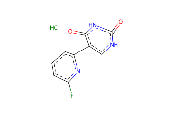 Cl.O=c1[nH]cc(-c2cccc(F)n2)c(=O)[nH]1